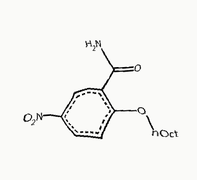 CCCCCCCCOc1ccc([N+](=O)[O-])cc1C(N)=O